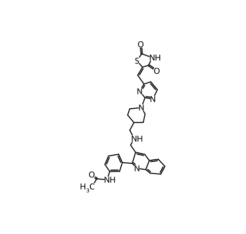 CC(=O)Nc1cccc(-c2nc3ccccc3cc2CNCC2CCN(c3nccc(C=C4SC(=O)NC4=O)n3)CC2)c1